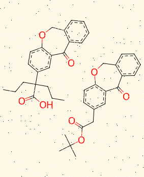 CC(C)(C)OC(=O)Cc1ccc2c(c1)C(=O)c1ccccc1CO2.CCCC(CCC)(C(=O)O)c1ccc2c(c1)C(=O)c1ccccc1CO2